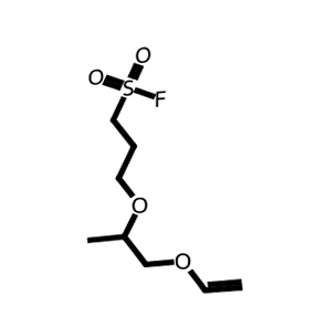 C=COCC(C)OCCCS(=O)(=O)F